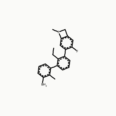 Bc1cccc(-c2cccc(-c3cc4c(cc3F)CP4C)c2CC)c1C